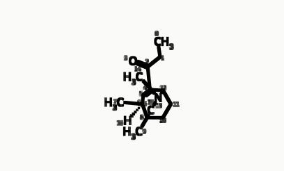 CCC(=O)C1=C[C@H](C)C2(C)CCC1N(C)C2